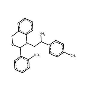 Cc1ccc(C(N)CN2c3ccccc3COC2c2ccccc2[N+](=O)[O-])cc1